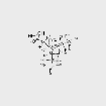 F.O=C(O)C(F)(F)C(F)(F)N(C(F)(F)C(F)(F)C(F)(F)F)C(F)(F)C(F)(F)C(F)(F)F